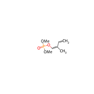 C=CC(C)=COP(=O)(OC)OC